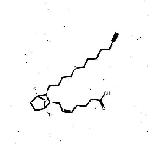 C#CCCCCCSCCCC[C@H]1[C@@H](C/C=C\CCCC(=O)O)[C@H]2CC[C@@H]1S2